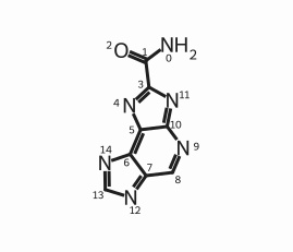 NC(=O)C1=Nc2c3c(cnc2=N1)=NC=N3